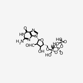 Nc1nc2c(ncn2[C@@H]2O[C@H](COP(=O)(O)OP(=O)(O)OP(=O)(O)O)C(O)C2C=O)c(=O)[nH]1